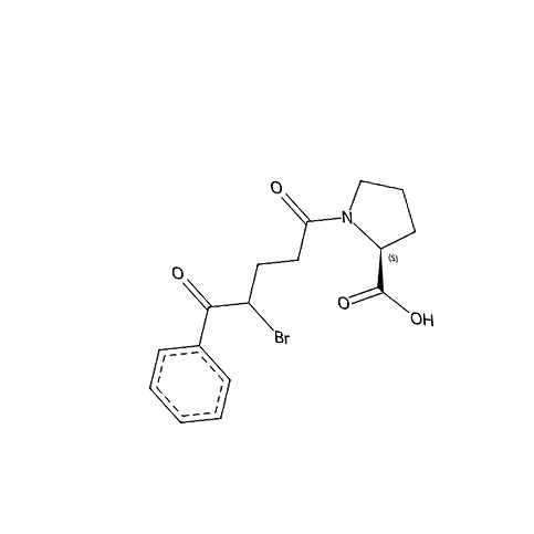 O=C(c1ccccc1)C(Br)CCC(=O)N1CCC[C@H]1C(=O)O